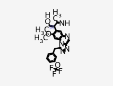 COc1cc2c(cc1/C(C(C)=N)=C(\C)O)ncc1nnc(Cc3cccc(OC(F)(F)F)c3)n12